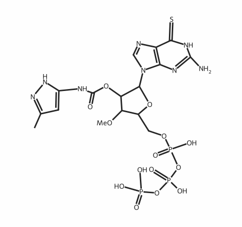 COC1C(COP(=O)(O)OP(=O)(O)OP(=O)(O)O)OC(n2cnc3c(=S)[nH]c(N)nc32)C1OC(=O)Nc1cc(C)n[nH]1